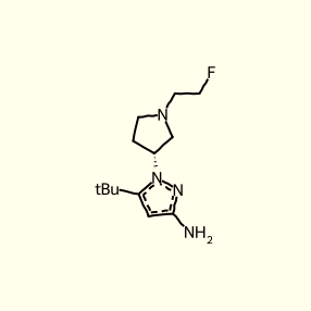 CC(C)(C)c1cc(N)nn1[C@@H]1CCN(CCF)C1